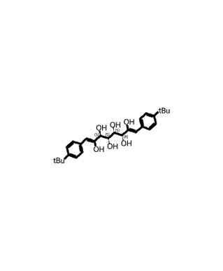 CC(C)(C)c1ccc(C=C(O)[C@@H](O)[C@@H](O)[C@H](O)[C@@H](O)C(O)=Cc2ccc(C(C)(C)C)cc2)cc1